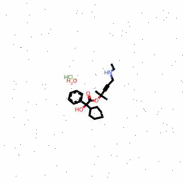 CCNCC#CC(C)(C)OC(=O)C(O)(c1ccccc1)C1CCCCC1.Cl.O